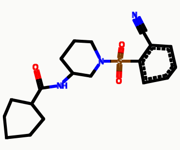 N#Cc1ccccc1S(=O)(=O)N1CCCC(NC(=O)C2CCCCC2)C1